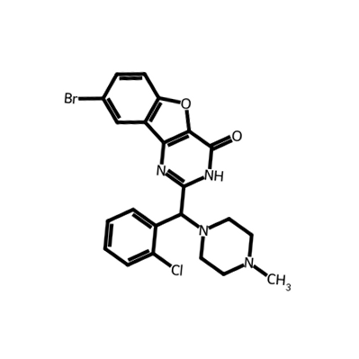 CN1CCN(C(c2nc3c(oc4ccc(Br)cc43)c(=O)[nH]2)c2ccccc2Cl)CC1